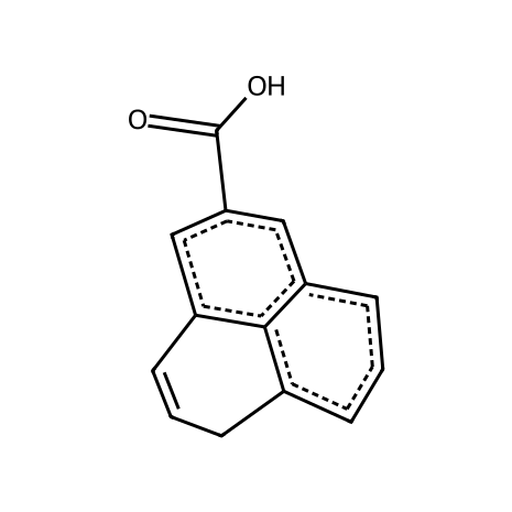 O=C(O)c1cc2c3c(cccc3c1)CC=C2